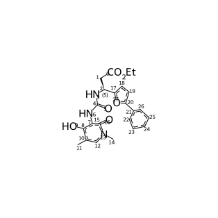 CCOC(=O)C[C@H](NC(=O)Nc1c(O)c(C)cn(C)c1=O)c1ccc(-c2ccccc2)o1